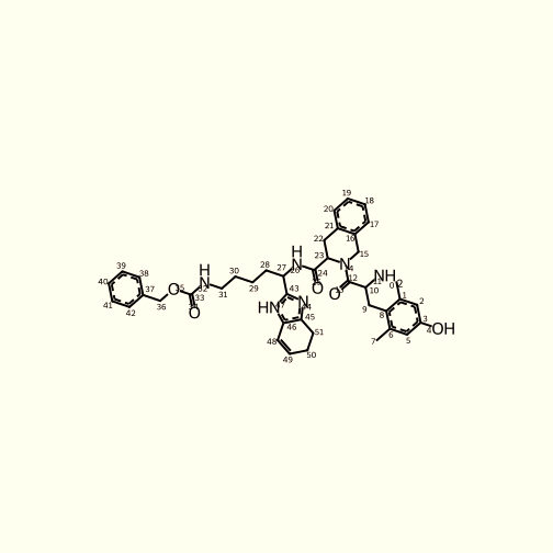 Cc1cc(O)cc(C)c1CC(N)C(=O)N1Cc2ccccc2CC1C(=O)NC(CCCCNC(=O)OCc1ccccc1)c1nc2c([nH]1)C=CCC2